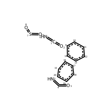 N=C=O.N=C=O.O=S=O.c1ccccc1.c1ccccc1